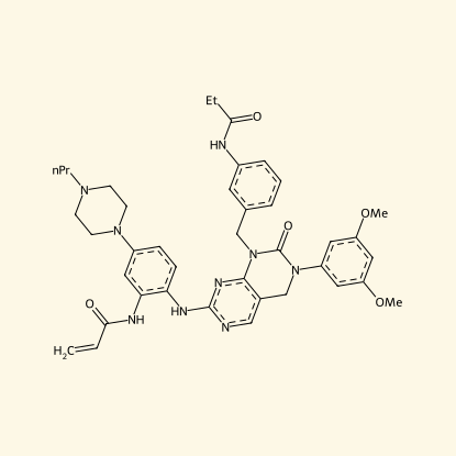 C=CC(=O)Nc1cc(N2CCN(CCC)CC2)ccc1Nc1ncc2c(n1)N(Cc1cccc(NC(=O)CC)c1)C(=O)N(c1cc(OC)cc(OC)c1)C2